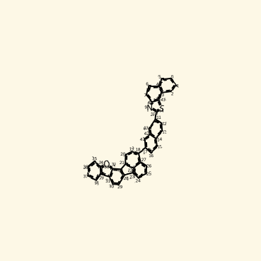 c1ccc2c(c1)ccc1nc(-c3ccc4ccc(-c5ccc6c7c(cccc57)-c5ccc7c(oc8ccccc87)c5-6)cc4c3)sc12